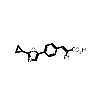 CC/C(=C\c1ccc(-c2cnc(C3CC3)o2)cc1)C(=O)O